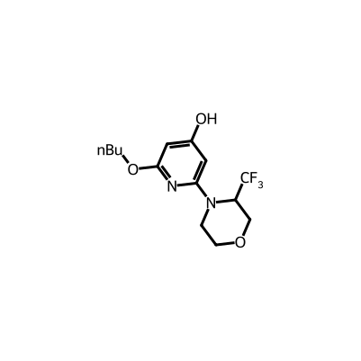 CCCCOc1cc(O)cc(N2CCOCC2C(F)(F)F)n1